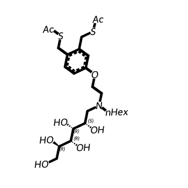 CCCCCCN(CCOc1ccc(CSC(C)=O)c(CSC(C)=O)c1)C[C@H](O)[C@@H](O)[C@H](O)[C@H](O)CO